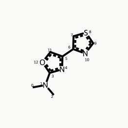 CN(C)c1nc(-c2cscn2)co1